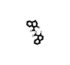 O=C(OC(=O)c1c(F)ccc2ccccc12)c1c(F)ccc2ccccc12